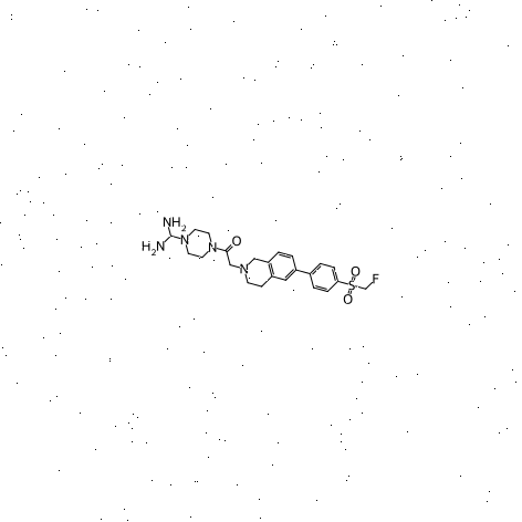 NC(N)N1CCN(C(=O)CN2CCc3cc(-c4ccc(S(=O)(=O)CF)cc4)ccc3C2)CC1